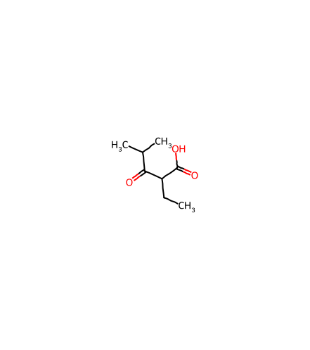 CCC(C(=O)O)C(=O)C(C)C